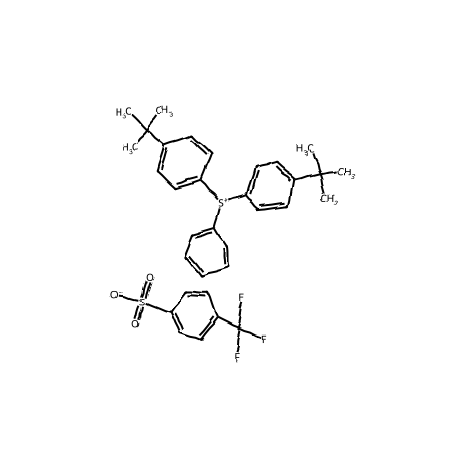 CC(C)(C)c1ccc([S+](c2ccccc2)c2ccc(C(C)(C)C)cc2)cc1.O=S(=O)([O-])c1ccc(C(F)(F)F)cc1